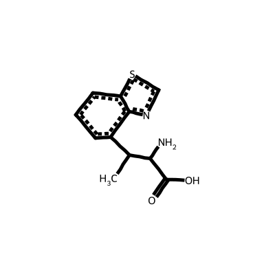 CC(c1cccc2scnc12)C(N)C(=O)O